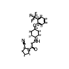 N#CC1CCCN1C(=O)CNC1CCC(Oc2ccccc2C(F)(F)F)CC1